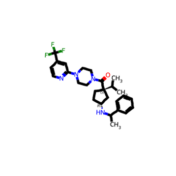 CC(N[C@@H]1CC[C@@](C(=O)N2CCN(c3cc(C(F)(F)F)ccn3)CC2)(C(C)C)C1)c1ccccc1